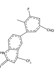 Cc1c(F)cc(C=O)cc1-c1ccc2[nH]c(=O)cc(C(F)(F)F)c2c1